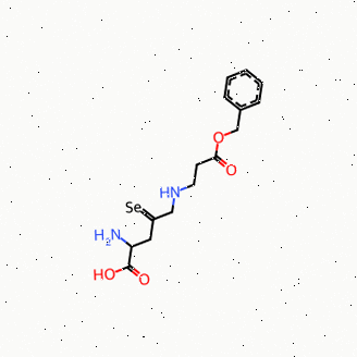 NC(CC(=[Se])CNCCC(=O)OCc1ccccc1)C(=O)O